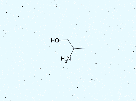 C[C](N)CO